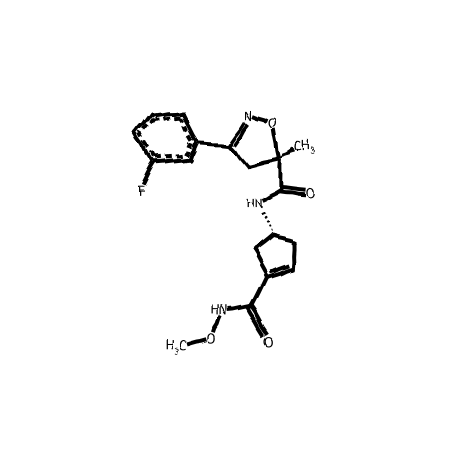 CONC(=O)C1=CC[C@@H](NC(=O)[C@]2(C)CC(c3cccc(F)c3)=NO2)C1